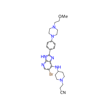 COCCN1CCN(c2ccc(-c3nc4c(NC5CCN(CCC#N)CC5)c(Br)cnc4[nH]3)cc2)CC1